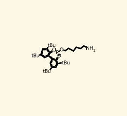 CC(C)(C)c1cc(C(C)(C)C)c2op(OCCCCCCN)oc3c(C(C)(C)C)cc(C(C)(C)C)cc3c2c1